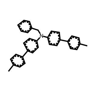 Cc1ccc(-c2ccc(N(Cc3ccccc3)c3ccc(-c4ccc(C)cc4)cc3)cc2)cc1